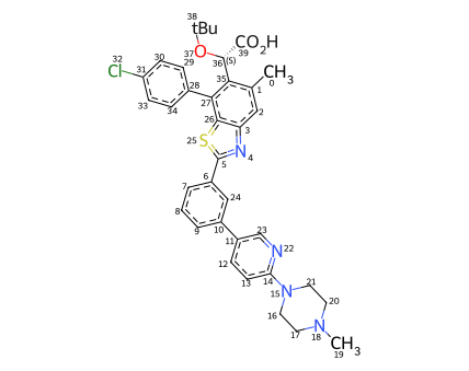 Cc1cc2nc(-c3cccc(-c4ccc(N5CCN(C)CC5)nc4)c3)sc2c(-c2ccc(Cl)cc2)c1[C@H](OC(C)(C)C)C(=O)O